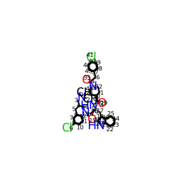 CN(C)CC1Cc2cc(Cl)ccc2N(C(=O)[C@@H](Cc2c[nH]c3ccccc23)NC(=O)C2CCN(C(=O)Cc3ccc(Cl)cc3)CC2)C1